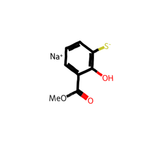 COC(=O)c1cccc([S-])c1O.[Na+]